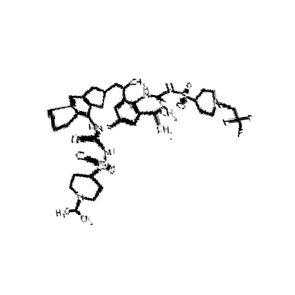 CC(C)c1cc(F)cc(C(C)CC2Cc3cc4c(c(NC(=O)NS(=O)(=O)C5CCN(C(C)C)CC5)c3C2)CCC4)c1NC(=O)NS(=O)(=O)C1CCN(CC(F)(F)F)CC1